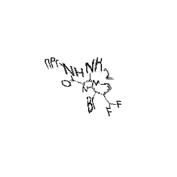 CCCNC(=O)c1nc2c(Br)c(C(F)F)ccn2c1N